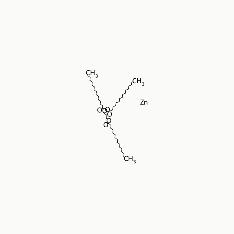 CCCCCCCCCCCCCCCC(=O)OCC(COC(=O)CCCCCCCCCCCCCCC)OC(=O)CCCCCCCCCCCCCCC.[Zn]